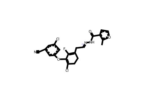 Cc1occc1C(=O)N/N=C/CC1=C(F)C(Oc2cc(Cl)cc(C#N)c2)=C(Cl)CC1